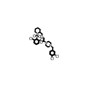 O=C(COCC1CCCCN1S(=O)(=O)c1c(Cl)cccc1Cl)N1CCN(Cc2ccc(Cl)c(Cl)c2)CC1